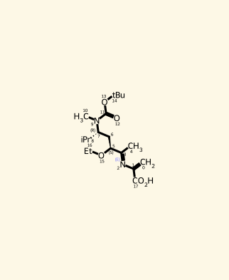 C=C(/N=C(\C)[C@H](C[C@H](C(C)C)N(C)C(=O)OC(C)(C)C)OCC)C(=O)O